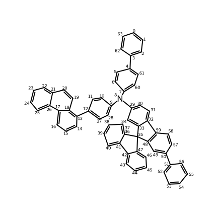 c1ccc(-c2ccc(N(c3ccc(-c4cccc5c4ccc4ccccc45)cc3)c3ccc4c(c3)C3(c5ccccc5-c5ccccc53)c3cc(-c5ccccc5)ccc3-4)cc2)cc1